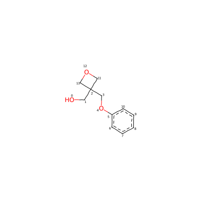 OCC1(COc2ccccc2)COC1